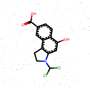 O=C(O)c1ccc2c(O)cc3c(c2c1)CCN3C(Cl)Cl